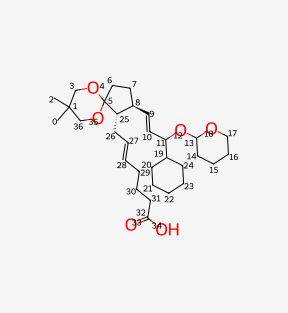 CC1(C)COC2(CC[C@@H](C=CC(OC3CCCCO3)C3CCCCC3)[C@@H]2CC=CCCCC(=O)O)OC1